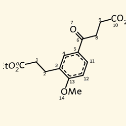 CCOC(=O)CCc1cc(C(=O)CCC(=O)O)ccc1OC